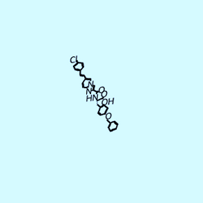 O=C(N[C@@H](Cc1ccc(OCc2ccccc2)cc1)C(=O)O)c1cn2cc(/C=C/c3ccc(Cl)cc3)ccc2n1